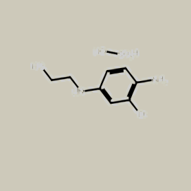 CCc1cc(NCCO)ccc1N.O=S(=O)(O)O